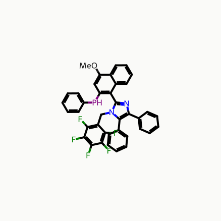 COc1cc(Pc2ccccc2)c(-c2nc(-c3ccccc3)c(-c3ccccc3)n2Cc2c(F)c(F)c(F)c(F)c2F)c2ccccc12